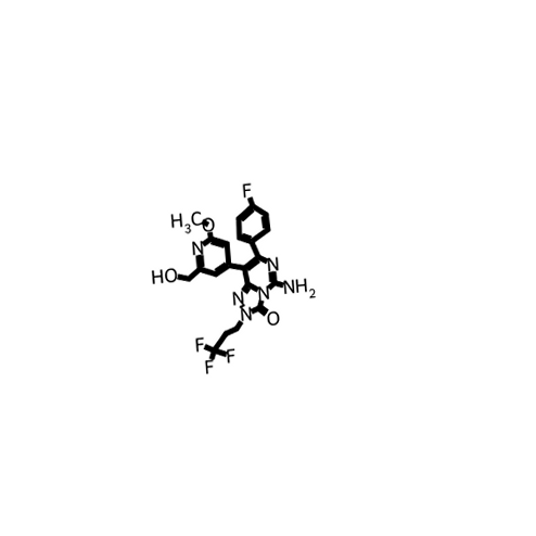 COc1cc(-c2c(-c3ccc(F)cc3)nc(N)n3c(=O)n(CCC(F)(F)F)nc23)cc(CO)n1